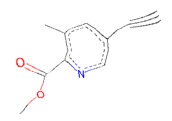 C#Cc1cnc(C(=O)OC)c(C)c1